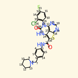 O=C(Nc1ccc(CN2CCCCC2)cc1)c1sc2ncnc3c2c1NC(=O)N3c1ccc(F)cc1Cl